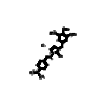 CCc1n(Cc2cc(OC)c(OC)c(OC)c2)cc[n+]1N=Cc1ccc(N(C)C)cc1.[Cl-]